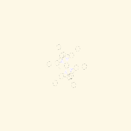 N#Cc1c(-n2c3ccccc3c3cc(-c4ccccc4)ccc32)c(-n2c3ccc(-c4ccccc4)cc3c3cc(-c4ccccc4)ccc32)cc(-n2c3ccccc3c3cc(-c4ccccc4)ccc32)c1-n1c2ccc(-c3ccccc3)cc2c2cc(-c3ccccc3)ccc21